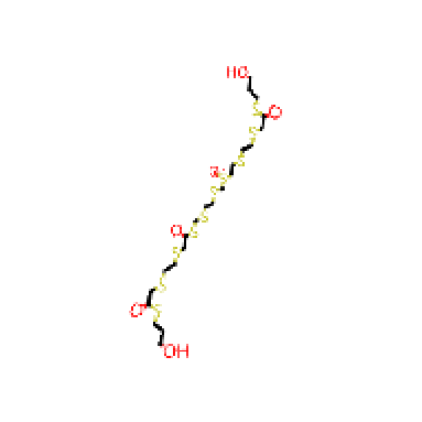 O=C(CSCCSCC[S+]([O-])CSCCSCSC(=O)CSCCSCC(=O)SCCCO)SCCCO